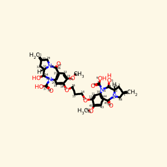 C=C1C[C@H]2C(O)N(C(=O)O)c3cc(OCCCOc4cc5c(cc4OC)C(=O)N4CC(=C)C[C@H]4C(O)N5C(=O)O)c(OC)cc3C(=O)N2C1